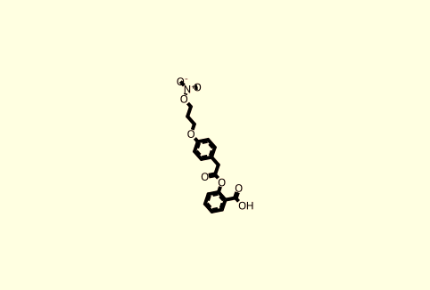 O=C(Cc1ccc(OCCCO[N+](=O)[O-])cc1)Oc1ccccc1C(=O)O